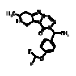 CC1Cc2nn3cnn(C(C)c4ccc(OC(F)F)cc4)c(=O)c3c2CN1